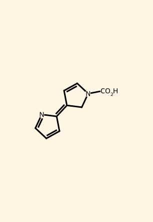 O=C(O)N1C=CC(=C2C=CC=N2)C1